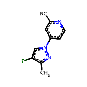 Cc1nn(-c2ccnc(C#N)c2)cc1F